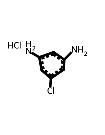 Cl.Nc1cc(N)cc(Cl)c1